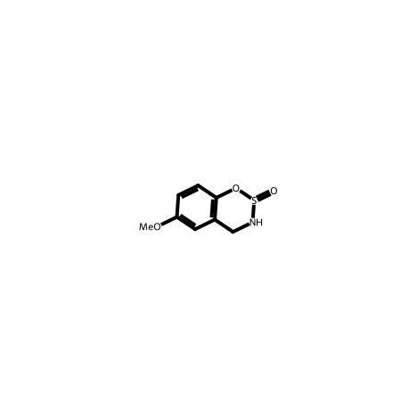 COc1ccc2c(c1)CNS(=O)O2